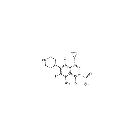 Nc1c(F)c(N2CCNCC2)c(Cl)c2c1c(=O)c(C(=O)O)cn2C1CC1